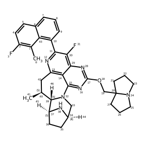 Cc1c(F)ccc2cccc(-c3nc4c5c(nc(OCC67CCCN6CCC7)nc5c3F)N3C[C@H]5CC[C@H](N5)[C@@H]3[C@@H](C)C4)c12